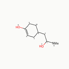 CNC(O)CC1CC=C(O)CC1